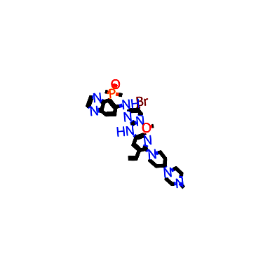 C=Cc1cc(Nc2ncc(Br)c(Nc3ccc4nccnc4c3P(C)(C)=O)n2)c(OC)nc1N1CCC(N2CCN(C)CC2)CC1